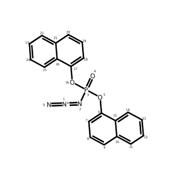 [N-]=[N+]=NP(=O)(Oc1cccc2ccccc12)Oc1cccc2ccccc12